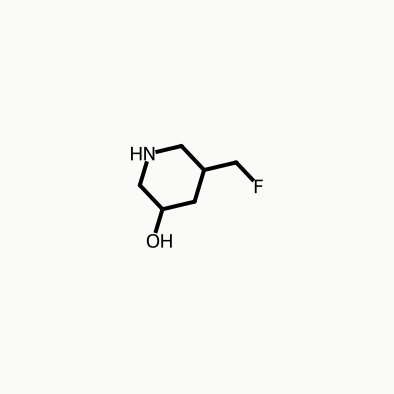 OC1CNCC(CF)C1